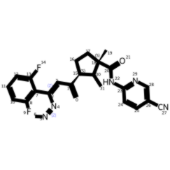 C=C(/C=C(\N=N/C)c1c(F)cccc1F)[C@H]1CC[C@](C)(C(=O)Nc2ccc(C#N)cn2)C1C